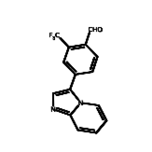 O=Cc1ccc(-c2cnc3ccccn23)cc1C(F)(F)F